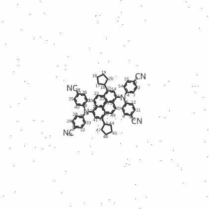 N#Cc1ccc(N(c2ccc(C#N)cc2)c2cc(C3CCCC3)c3ccc4c(N(c5ccc(C#N)cc5)c5ccc(C#N)cc5)cc(C5CCCC5)c5ccc2c3c54)cc1